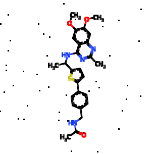 COc1cc2nc(C)nc(NC(C)c3ccc(-c4ccc(CNC(C)=O)cc4)s3)c2cc1OC